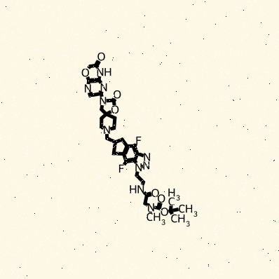 CN(CC(=O)NCCn1nnc2c(F)c3c(c(F)c21)CC(CN1CCC2(CC1)CN(c1cnc4c(n1)NC(=O)CO4)C(=O)O2)C3)C(=O)OC(C)(C)C